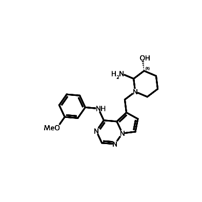 COc1cccc(Nc2ncnn3ccc(CN4CCC[C@@H](O)C4N)c23)c1